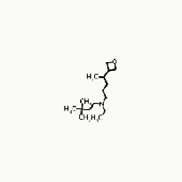 CCN(CCCC(C)C1COC1)CCC(C)(C)C